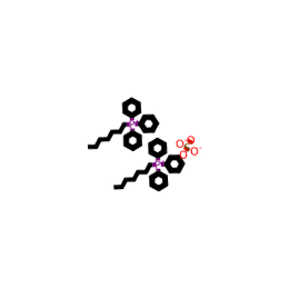 CCCCCCC[P+](c1ccccc1)(c1ccccc1)c1ccccc1.CCCCCCC[P+](c1ccccc1)(c1ccccc1)c1ccccc1.O=S(=O)([O-])[O-]